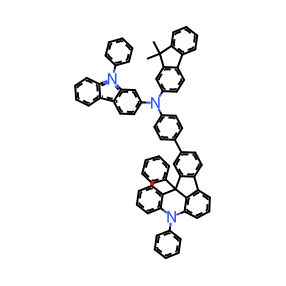 CC1(C)c2ccccc2-c2ccc(N(c3ccc(-c4ccc5c(c4)C4(c6ccccc6)c6ccccc6N(c6ccccc6)c6cccc-5c64)cc3)c3ccc4c5ccccc5n(-c5ccccc5)c4c3)cc21